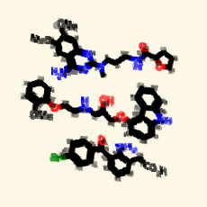 COc1cc2nc(N(C)CCCNC(=O)C3CCCO3)nc(N)c2cc1OC.COc1ccccc1OCCNCC(O)COc1cccc2[nH]c3ccccc3c12.Nc1c(CC(=O)O)cccc1C(=O)c1ccc(Br)cc1